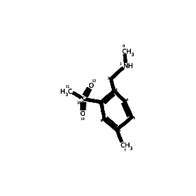 CNCc1ccc(C)cc1S(C)(=O)=O